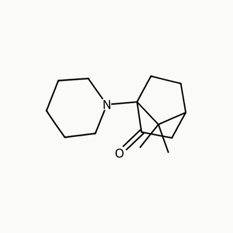 CC1(C)C2CCC1(N1CCCCC1)C(=O)C2